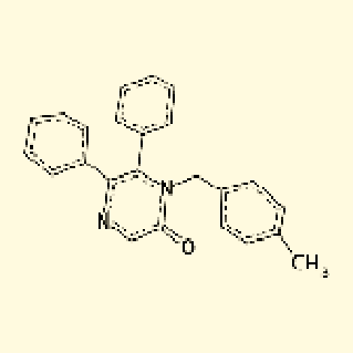 Cc1ccc(Cn2c(-c3ccccc3)c(-c3ccccc3)ncc2=O)cc1